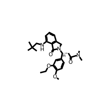 CCOc1cc([C@@H](CC(=O)N(C)C)N2Cc3cccc(NCC(C)(C)C)c3C2=O)ccc1OC